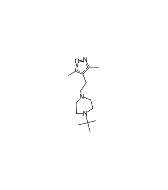 Cc1noc(C)c1CCN1CCN(C(C)(C)C)CC1